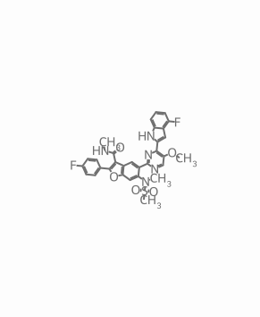 CNC(=O)c1c(-c2ccc(F)cc2)oc2cc(N(C)S(C)(=O)=O)c(-c3ncc(OC)c(-c4cc5c(F)cccc5[nH]4)n3)cc12